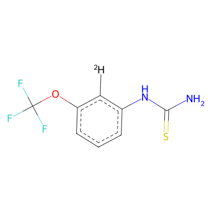 [2H]c1c(NC(N)=S)cccc1OC(F)(F)F